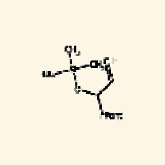 [CH]=CC(CCCCC)O[Si](C)(C)C(C)(C)C